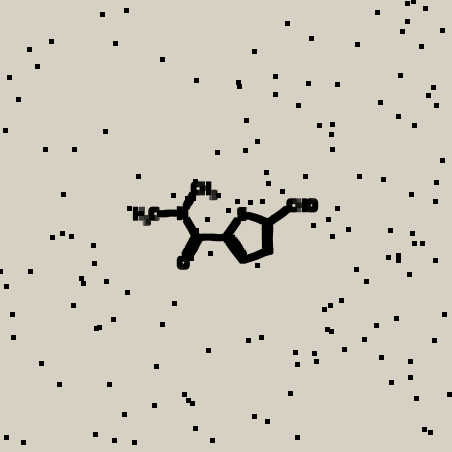 CN(C)C(=O)c1ccc(C=O)s1